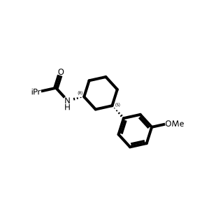 COc1cccc([C@H]2CCC[C@@H](NC(=O)C(C)C)C2)c1